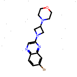 Brc1ccc2ncc(N3CC(N4CCOCC4)C3)nc2c1